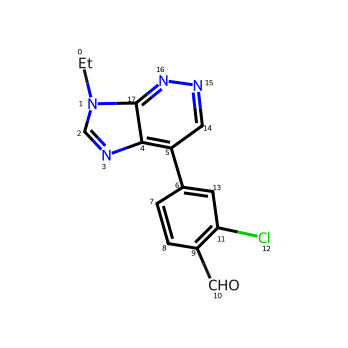 CCn1cnc2c(-c3ccc(C=O)c(Cl)c3)cnnc21